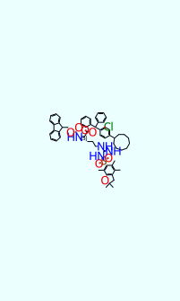 Cc1c(C)c(S(=O)(=O)NC(=N)NCCC[C@H](NC(=O)OCC2c3ccccc3-c3ccccc32)C(=O)OC(c2ccccc2)(c2ccc(C3CCCCCCCC3)cc2)c2ccccc2Cl)c(C)c2c1CC(C)(C)O2